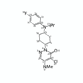 CNc1cnn(C2CCC(N(c3ccc(F)cc3)C(C)C)CC2)c(=O)c1Cl